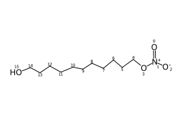 O=[N+]([O-])OCCCCCCCCCCCO